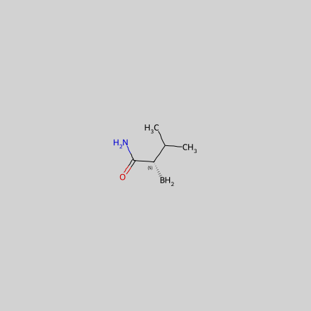 B[C@H](C(N)=O)C(C)C